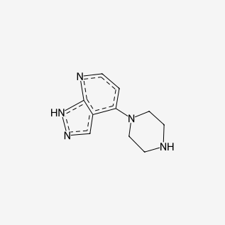 c1cc(N2CCNCC2)c2cn[nH]c2n1